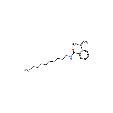 C=C(C)c1ccccc1C(=O)NCCCCCCCCCC(=O)O